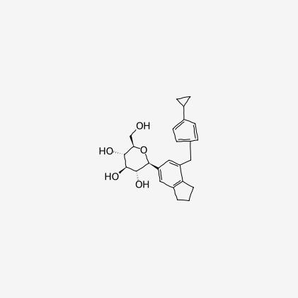 OC[C@H]1O[C@@H](c2cc3c(c(Cc4ccc(C5CC5)cc4)c2)CCC3)[C@H](O)[C@@H](O)[C@@H]1O